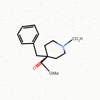 COC(=O)C1(Cc2ccccc2)CCN(C(=O)O)CC1